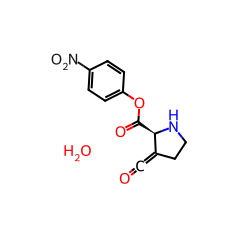 O.O=C=C1CCN[C@@H]1C(=O)Oc1ccc([N+](=O)[O-])cc1